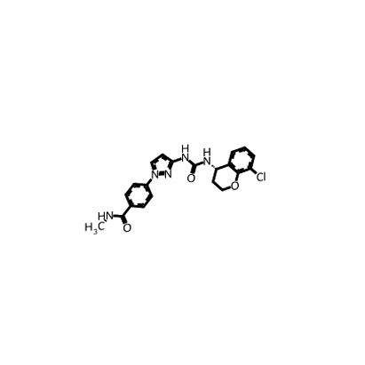 CNC(=O)c1ccc(-n2ccc(NC(=O)N[C@H]3CCOc4c(Cl)cccc43)n2)cc1